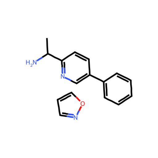 CC(N)c1ccc(-c2ccccc2)cn1.c1cnoc1